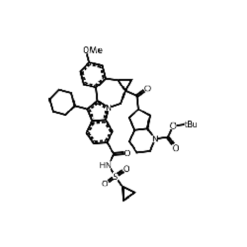 COc1ccc2c(c1)C1CC1(C(=O)C1CC3CCCN(C(=O)OC(C)(C)C)C3C1)Cn1c-2c(C2CCCCC2)c2ccc(C(=O)NS(=O)(=O)C3CC3)cc21